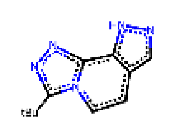 CC(C)(C)c1nnc2c3[nH]ncc3ccn12